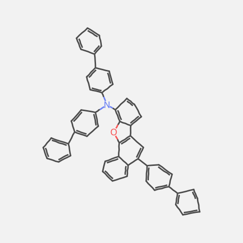 c1ccc(-c2ccc(-c3cc4c5cccc(N(c6ccc(-c7ccccc7)cc6)c6ccc(-c7ccccc7)cc6)c5oc4c4ccccc34)cc2)cc1